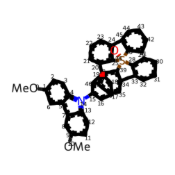 COc1ccc2c(c1)c1cc(OC)ccc1n2-c1cccc(-c2cccc3c2S2(=O)(c4ccccc4-c4ccccc42)c2ccccc2-3)c1